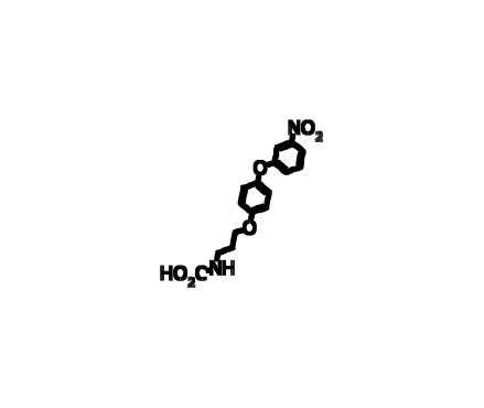 O=C(O)NCCCOc1ccc(Oc2cccc([N+](=O)[O-])c2)cc1